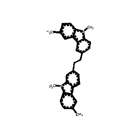 Cc1ccc2c(c1)c1cc(CCc3ccc4c5cc(C)ccc5n(C)c4c3)ccc1n2C